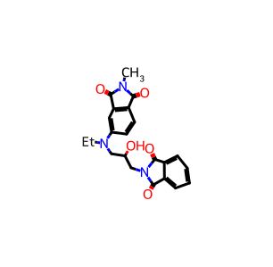 CCN(CC(O)CN1C(=O)c2ccccc2C1=O)c1ccc2c(c1)C(=O)N(C)C2=O